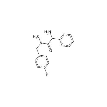 CN(Cc1ccc(F)cc1)C(=O)C(N)c1ccccc1